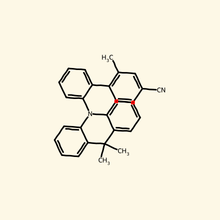 Cc1cc(C#N)ccc1-c1ccccc1N1c2ccccc2C(C)(C)c2ccccc21